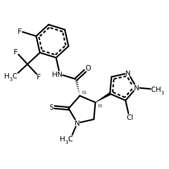 CN1C[C@H](c2cnn(C)c2Cl)[C@@H](C(=O)Nc2cccc(F)c2C(C)(F)F)C1=S